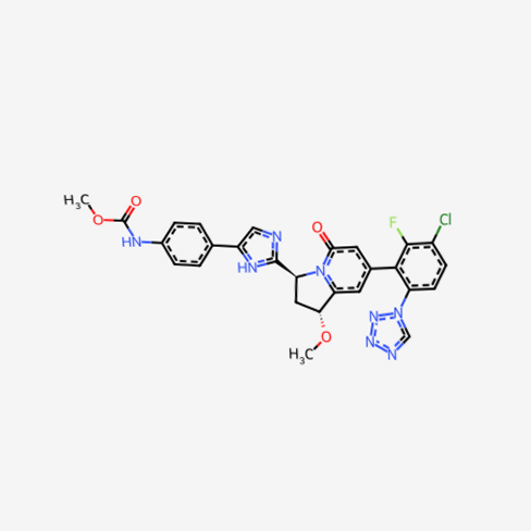 COC(=O)Nc1ccc(-c2cnc([C@@H]3C[C@@H](OC)c4cc(-c5c(-n6cnnn6)ccc(Cl)c5F)cc(=O)n43)[nH]2)cc1